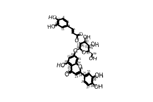 O=C(C=Cc1ccc(O)c(O)c1)O[C@H]1[C@H](Oc2cc(O)c3c(=O)cc(-c4ccc(O)c(O)c4)oc3c2)O[C@H](CO)[C@@H](O)[C@@H]1O